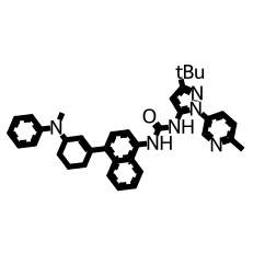 Cc1ccc(-n2nc(C(C)(C)C)cc2NC(=O)Nc2ccc(C3=CC(N(C)c4ccccc4)CCC3)c3ccccc23)cn1